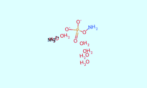 NOP(=O)([O-])[O-].O.O.O.O.O.O.[Mg+2]